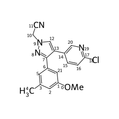 COc1cc(C)cc(-c2nn(CC#N)cc2-c2ccc(Cl)nc2)c1